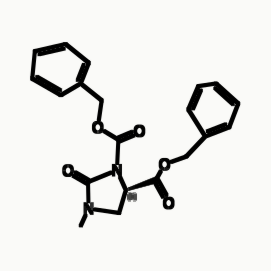 CN1C[C@H](C(=O)OCc2ccccc2)N(C(=O)OCc2ccccc2)C1=O